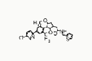 Cc1cc(-c2ccc(Cl)nn2)cc(C)c1C1C(=O)CC(CC(=O)NCc2cccs2)C1=O